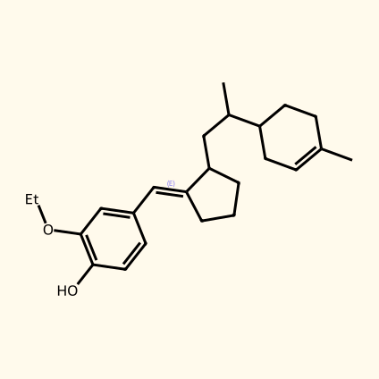 CCOc1cc(/C=C2\CCCC2CC(C)C2CC=C(C)CC2)ccc1O